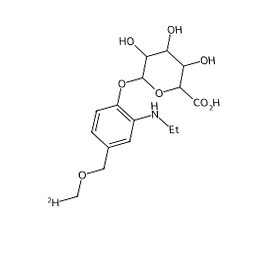 [2H]COCc1ccc(OC2OC(C(=O)O)C(O)C(O)C2O)c(NCC)c1